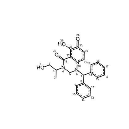 CC(CO)N1CN(C(c2ccccc2)c2ccccc2)n2ccc(=O)c(O)c2C1=O